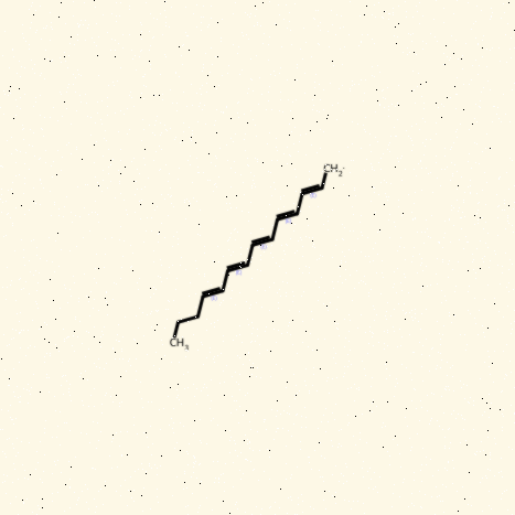 [CH2]/C=C/C=C/C=C/C=C/C=C/CCC